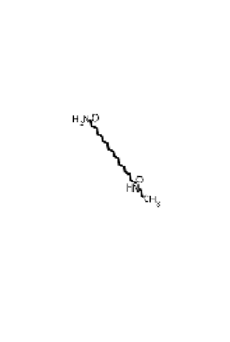 CCCNC(=O)CCCCCCCCCCCCCCCC(N)=O